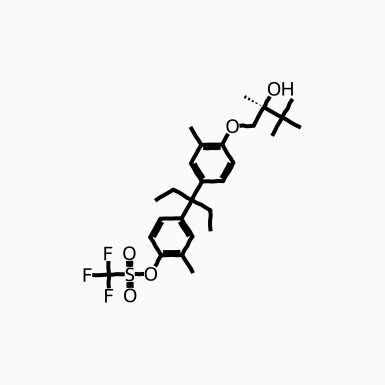 CCC(CC)(c1ccc(OC[C@@](C)(O)C(C)(C)C)c(C)c1)c1ccc(OS(=O)(=O)C(F)(F)F)c(C)c1